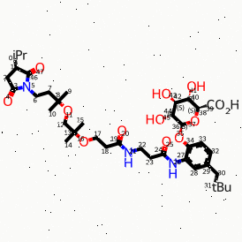 CC(C)C1CC(=O)N(CCC(C)(C)OCC(C)(C)OCCC(=O)NCCC(=O)Nc2cc(CC(C)(C)C)ccc2O[C@@H]2O[C@H](C(=O)O)[C@@H](O)[C@H](O)[C@H]2O)C1=O